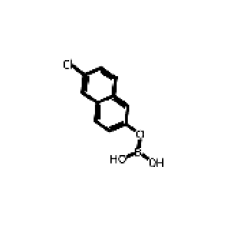 OB(O)Oc1ccc2cc(Cl)ccc2c1